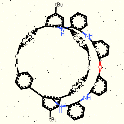 CC(C)(C)c1cc2c3c(c1)-c1ccc(cc1)CCc1ccc(cc1)-c1cc(C(C)(C)C)cc(c1Nc1ccccc1Nc1cccc(c1)Oc1cccc(c1)Nc1ccccc1N3)-c1ccc(cc1)CCc1ccc-2cc1